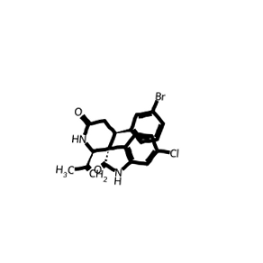 C=C(C)[C@H]1NC(=O)C[C@@H](c2cccc(Br)c2)[C@]12C(=O)Nc1cc(Cl)ccc12